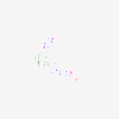 COCC(=O)N1CCC(Nc2cccc(Sc3ccc(C=CC(=O)N4CCN(C=O)CC4)c(C(F)(F)F)c3C(F)(F)F)c2)CC1